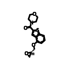 O=C(c1cc2c(OC[C@@H]3CO3)cccc2s1)N1CCOCC1